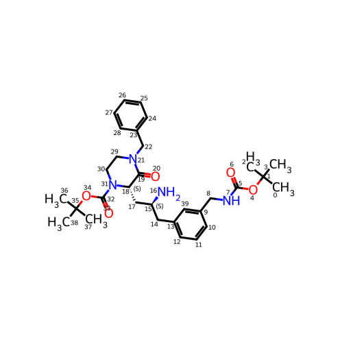 CC(C)(C)OC(=O)NCc1cccc(C[C@H](N)C[C@H]2C(=O)N(Cc3ccccc3)CCN2C(=O)OC(C)(C)C)c1